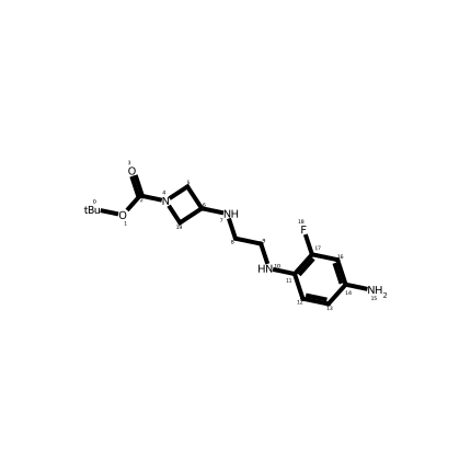 CC(C)(C)OC(=O)N1CC(NCCNc2ccc(N)cc2F)C1